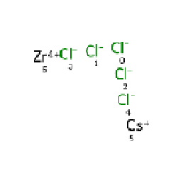 [Cl-].[Cl-].[Cl-].[Cl-].[Cl-].[Cs+].[Zr+4]